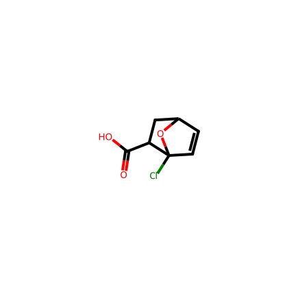 O=C(O)C1CC2C=CC1(Cl)O2